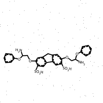 NC(COc1cc2c(cc1S(=O)(=O)O)-c1cc(S(=O)(=O)O)c(OCC(N)Oc3ccccc3)cc1C2)Oc1ccccc1